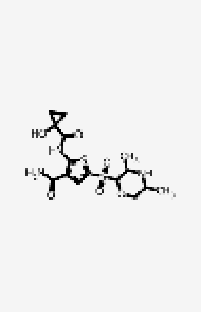 CC1COC(S(=O)(=O)c2cc(C(N)=O)c(NC(=O)C3(O)CC3)s2)C(C)N1